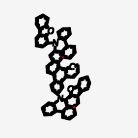 c1ccc(-c2ccccc2N(c2ccc3c(ccc4c5ccc(N(c6ccccc6-c6ccccc6)c6cccc7c6oc6ccccc67)cc5c5ccccc5c34)c2)c2cccc3c2oc2ccccc23)cc1